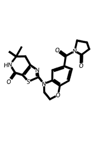 CC1(C)Cc2nc(N3CCOc4ccc(C(=O)N5CCCC5=O)cc43)sc2C(=O)N1